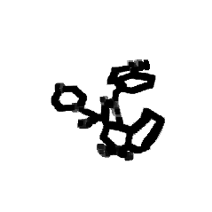 O=C(c1nn(-c2cccc3[nH]ncc23)c2c1CS(=O)(=O)c1ccccc1-2)N1CCOCC1